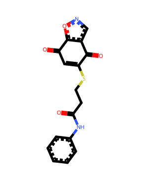 O=C(CCSC1=CC(=O)c2oncc2C1=O)Nc1ccccc1